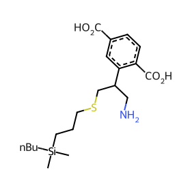 CCCC[Si](C)(C)CCCSCC(CN)c1cc(C(=O)O)ccc1C(=O)O